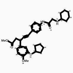 COC(=O)CC(C#Cc1ccc(NC(=O)CNC2CCCCC2)cc1)c1ccc(OC)c(OC2CCCC2)c1